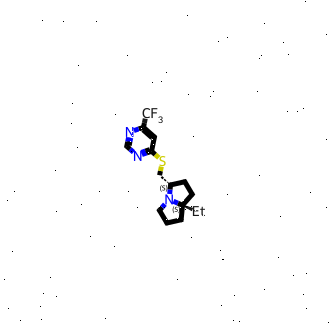 CC[C@@]12CCCN1[C@H](CSc1cc(C(F)(F)F)ncn1)CC2